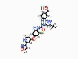 CC(C)(C)c1cc(NC(=O)Nc2ccc(Oc3ccnc(-c4ccon4)c3)cc2F)n(-c2cccc(CO)c2)n1